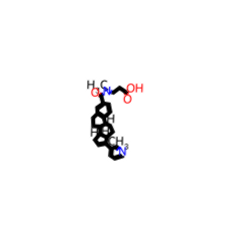 CN(CCC(=O)O)C(=O)c1ccc2c(c1)CC[C@@H]1[C@@H]2CC[C@]2(C)C(c3cccnc3)=CC[C@@H]12